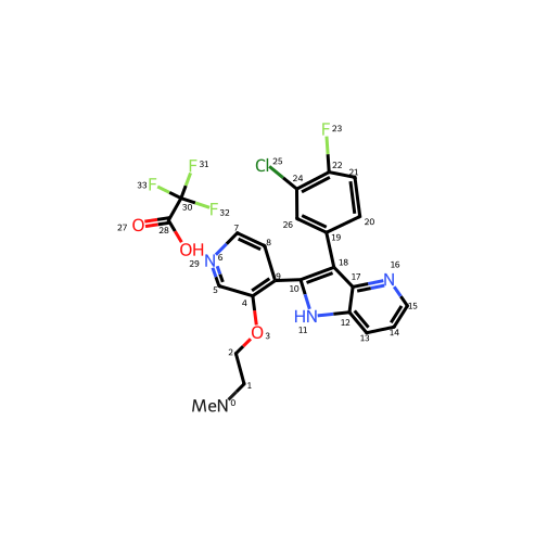 CNCCOc1cnccc1-c1[nH]c2cccnc2c1-c1ccc(F)c(Cl)c1.O=C(O)C(F)(F)F